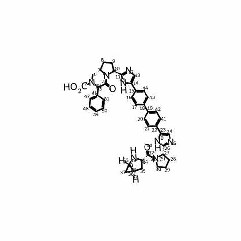 CN(C(=O)O)[C@@H](C(=O)N1CCC[C@H]1c1ncc(-c2ccc(-c3ccc(-c4cnc([C@@H]5CCCN5C(=O)[C@@H]5C[C@H]6C[C@@H]6N5)[nH]4)cc3)cc2)[nH]1)c1ccccc1